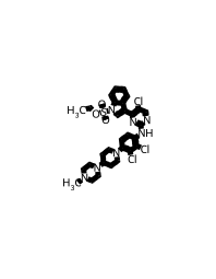 CCOS(=O)(=O)n1cc(-c2nc(Nc3ccc(N4CCC(N5CCN(C)CC5)CC4)c(Cl)c3Cl)ncc2Cl)c2ccccc21